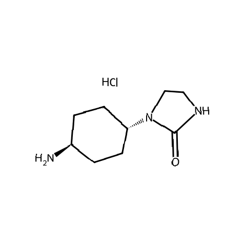 Cl.N[C@H]1CC[C@H](N2CCNC2=O)CC1